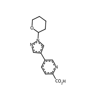 O=C(O)c1ccc(-c2cnn(C3CCCCO3)c2)cn1